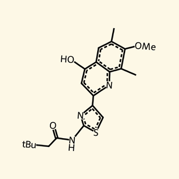 COc1c(C)cc2c(O)cc(-c3csc(NC(=O)CC(C)(C)C)n3)nc2c1C